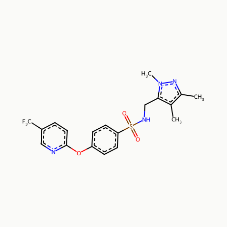 Cc1nn(C)c(CNS(=O)(=O)c2ccc(Oc3ccc(C(F)(F)F)cn3)cc2)c1C